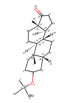 CC(C)(C)[Si](C)(C)OC1CC[C@@]2(C)[C@H](CC[C@@H]3[C@@H]2CC[C@]2(C)C(=O)CC[C@@H]32)C1